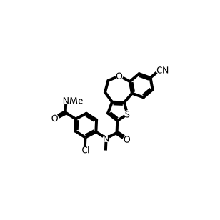 CNC(=O)c1ccc(N(C)C(=O)c2cc3c(s2)-c2ccc(C#N)cc2OCC3)c(Cl)c1